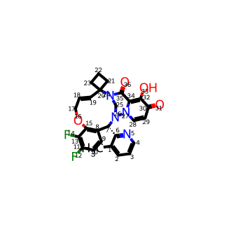 Cc1cccnc1[C@@H]1c2ccc(F)c(F)c2OC/C=C/C2(CCC2)N2CN1n1ccc(=O)c(O)c1C2=O